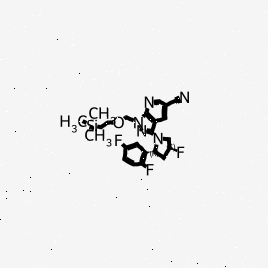 C[Si](C)(C)CCOCn1nc(N2C[C@@H](F)C[C@@H]2c2cc(F)ccc2F)c2cc(C#N)cnc21